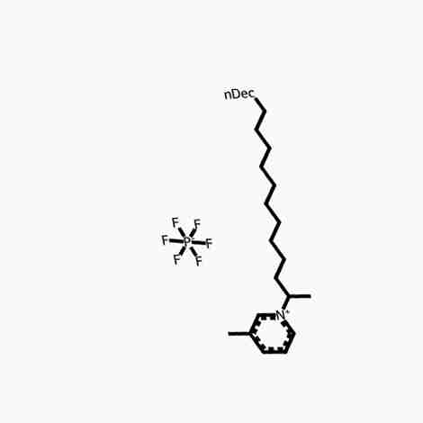 CCCCCCCCCCCCCCCCCCCCC(C)[n+]1cccc(C)c1.F[P-](F)(F)(F)(F)F